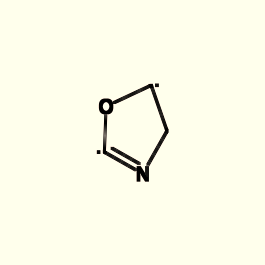 [C]1=NC[CH]O1